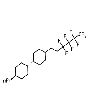 CCC[C@H]1CC[C@H](C2CCC(CCC(F)(F)C(F)(F)C(F)(F)C(F)(F)F)CC2)CC1